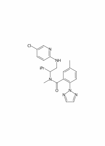 Cc1ccc(-n2nccn2)c(C(=O)N(C)C(CNc2ccc(Cl)cn2)C(C)C)c1